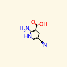 N#CC1=CNC(N)=C(C(=O)O)C1